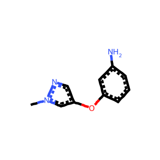 Cn1cc(Oc2cccc(N)c2)cn1